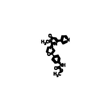 COC(=O)Nc1ccc([C@H]2CN(c3nc(-c4ccncc4)cc(=O)n3C)CCO2)cc1